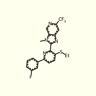 CCSc1ccc(-c2cccc(F)c2)nc1-c1nc2cc(C(F)(F)F)ncc2n1C